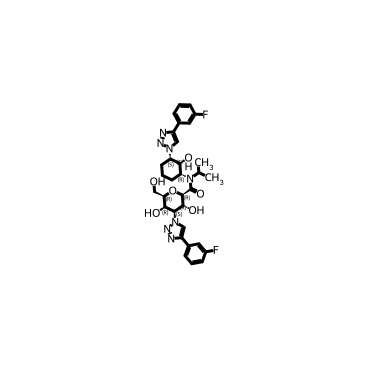 CC(C)N(C(=O)[C@@H]1O[C@H](CO)[C@H](O)[C@H](n2cc(-c3cccc(F)c3)nn2)[C@H]1O)[C@@H]1CCC[C@H](n2cc(-c3cccc(F)c3)nn2)[C@H]1O